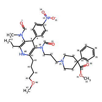 CCC1=C(N(C)C=O)C(c2ccc([N+](=O)[O-])cc2)C(N(C=O)CCCN2CCC(C(=O)OC)(c3ccccc3)CC2)=C(CCCCOC)N1